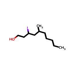 CCCCCC(C)CC(I)CCO